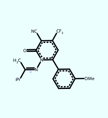 COc1cccc(-c2cc(C(F)(F)F)c(C#N)c(=O)n2/N=C(\C)C(C)C)c1